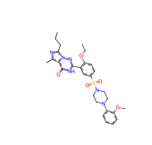 CCCc1nc(C)c2c(=O)[nH]c(-c3cc(S(=O)(=O)N4CCN(c5ccccc5OC)CC4)ccc3OCC)nn12